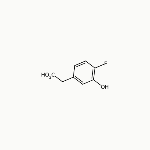 O=C(O)Cc1ccc(F)c(O)c1